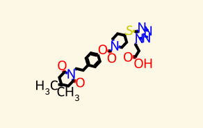 CC1(C)CC(=O)N(CCc2ccc(OC(=O)N3CCC(Sc4nnnn4CCC(=O)O)CC3)cc2)C(=O)C1